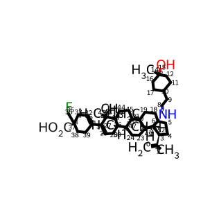 C=C(C)[C@@H]1CC[C@]2(NCCC3CCC(C)(O)CC3)CC[C@]3(C)[C@H](CC[C@@H]4[C@@]5(C)CC=C(C6=CC[C@](CF)(C(=O)O)CC6)C(C)(C)[C@@H]5CC[C@]43C)[C@@H]12